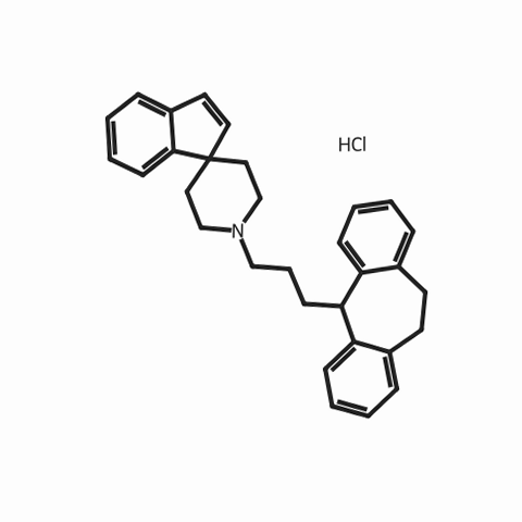 C1=CC2(CCN(CCCC3c4ccccc4CCc4ccccc43)CC2)c2ccccc21.Cl